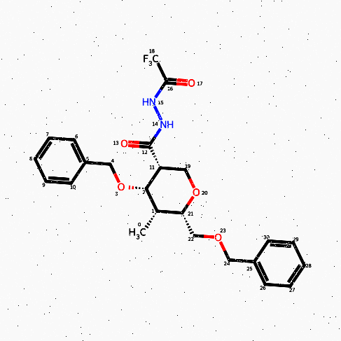 C[C@@H]1[C@H](OCc2ccccc2)[C@H](C(=O)NNC(=O)C(F)(F)F)CO[C@@H]1COCc1ccccc1